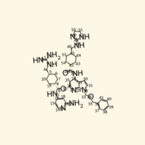 N=C(N)NC[C@H]1CC[C@H](C(=O)Nc2ccnc(N)c2)CC1.O=C(Nc1ccnc2c1ccn2COCc1ccccc1)[C@H]1CC[C@H](CNC2=NCCN2)CC1